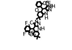 CC1(C)CC(=O)C2=C(C1)Nc1nn(CC3(C)CC(=O)C4=C(C3)Nc3n[nH]c(C(F)(F)F)c3C4c3ccccc3C(F)(F)F)c(C(F)(F)F)c1C2c1cccc(F)c1C(F)(F)F